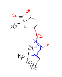 CCN(/[N+](O)=N/OC1CCC(C)(C(=O)O)C1)C(C)(C)C